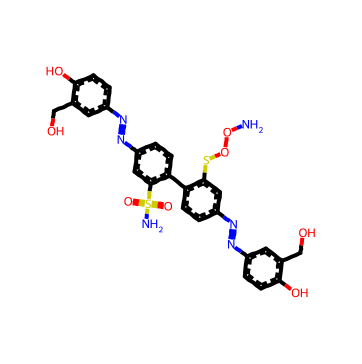 NOOSc1cc(N=Nc2ccc(O)c(CO)c2)ccc1-c1ccc(N=Nc2ccc(O)c(CO)c2)cc1S(N)(=O)=O